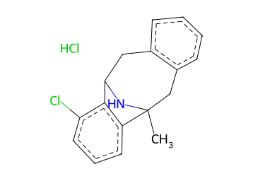 CC12Cc3ccccc3CC(N1)c1c(Cl)cccc12.Cl